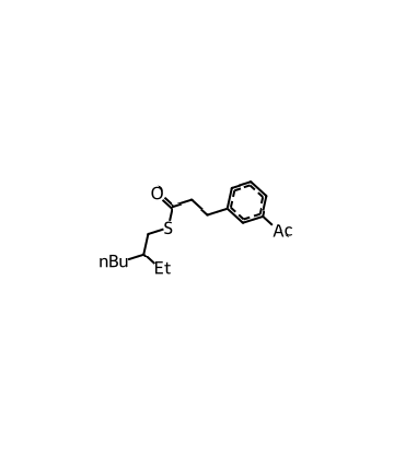 CCCCC(CC)CSC(=O)CCc1cccc(C(C)=O)c1